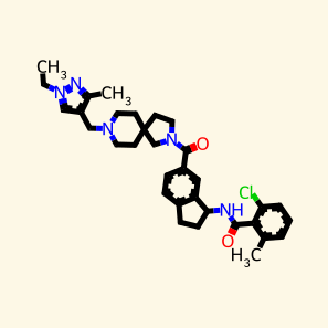 CCn1cc(CN2CCC3(CC2)CCN(C(=O)c2ccc4c(c2)C(NC(=O)c2c(C)cccc2Cl)CC4)C3)c(C)n1